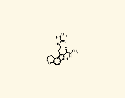 CNC(=O)NCCc1c(C(=O)NC)[nH]c2ccc3c(c12)CCCO3